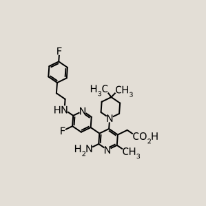 Cc1nc(N)c(-c2cnc(NCCc3ccc(F)cc3)c(F)c2)c(N2CCC(C)(C)CC2)c1CC(=O)O